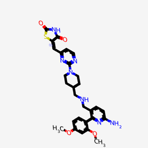 COc1ccc(-c2nc(N)ccc2CNCC2CCN(c3nccc(/C=C4/SC(=O)NC4=O)n3)CC2)c(OC)c1